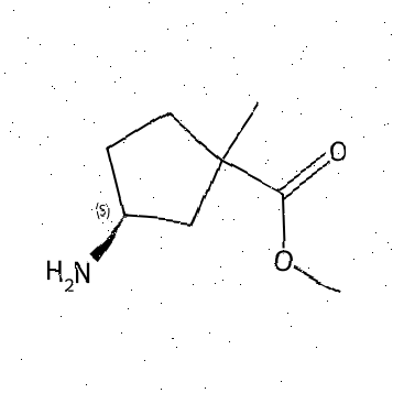 COC(=O)C1(C)CC[C@H](N)C1